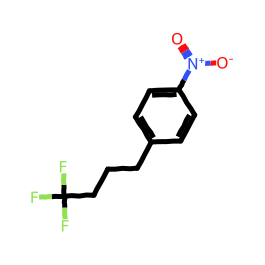 O=[N+]([O-])c1ccc(CCCC(F)(F)F)cc1